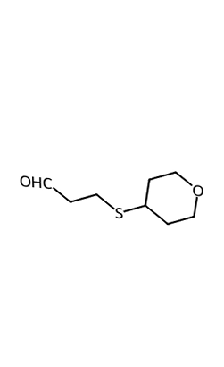 O=CCCSC1CCOCC1